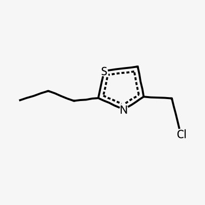 CCCc1nc(CCl)cs1